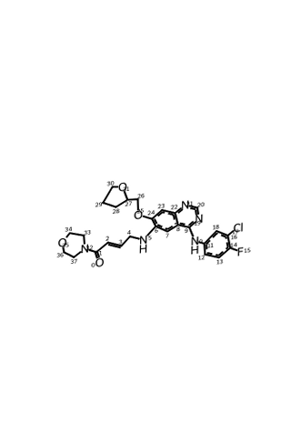 O=C(C=CCNc1cc2c(Nc3ccc(F)c(Cl)c3)ncnc2cc1OCC1CCCO1)N1CCOCC1